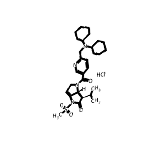 CC(C)[C@H]1C(=O)N(S(C)(=O)=O)C2=CCN(C(=O)c3ccc(CN(C4CCCCC4)C4CCCCC4)nc3)[C@@H]21.Cl